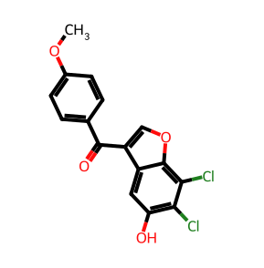 COc1ccc(C(=O)c2coc3c(Cl)c(Cl)c(O)cc23)cc1